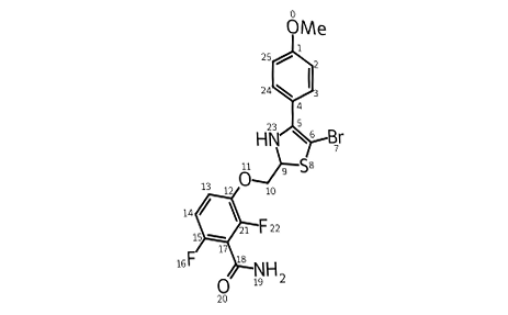 COc1ccc(C2=C(Br)SC(COc3ccc(F)c(C(N)=O)c3F)N2)cc1